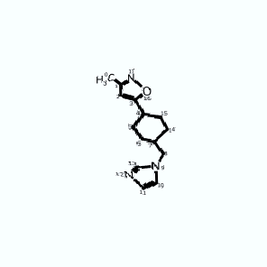 Cc1cc(C2CCC(Cn3ccnc3)CC2)on1